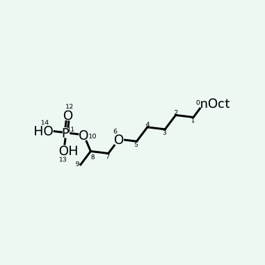 CCCCCCCCCCCCCOCC(C)OP(=O)(O)O